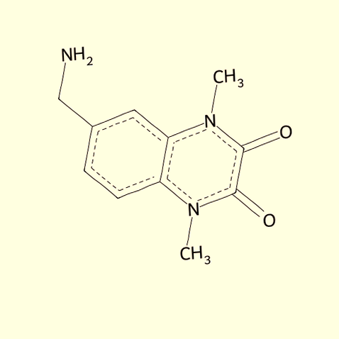 Cn1c(=O)c(=O)n(C)c2cc(CN)ccc21